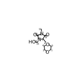 C1COCCO1.CC1C(=O)N(C)C(=O)N1CO